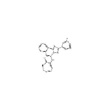 Cc1cncc(-c2nc3c4ccccc4nc(Nc4ccccnc4=O)n3n2)c1